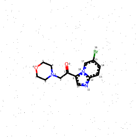 O=C(CN1CCOCC1)c1cnc2ccc(Br)cn12